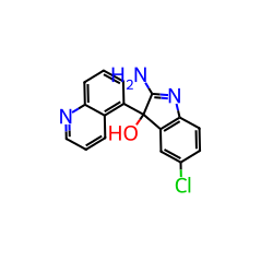 NC1=Nc2ccc(Cl)cc2C1(O)c1cccc2ncccc12